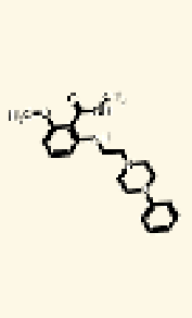 CNC(=O)c1c(NCCN2CCN(c3ccccc3)CC2)cccc1OC